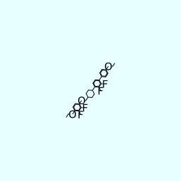 CCOc1ccc(-c2ccc(C3CCC(COc4ccc(OCC)c(F)c4F)CC3)c(F)c2F)cc1